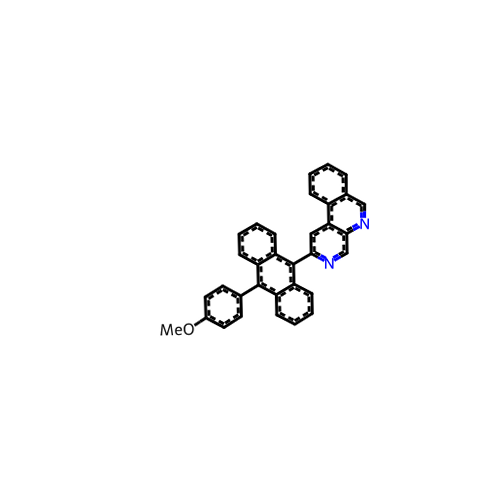 COc1ccc(-c2c3ccccc3c(-c3cc4c(cn3)ncc3ccccc34)c3ccccc23)cc1